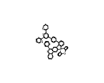 c1ccc(-c2nc3ccccc3c3cc4c(cc23)-c2c(-c3ccc(-c5cc(-c6ccccn6)nc(-c6ccccn6)c5)cc3)cccc2C42c3ccccc3Sc3ccccc32)cc1